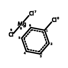 Clc1c[c]ccc1.[Cl][Mg][Cl]